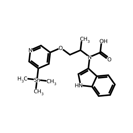 CC(COc1cnc[c]([Sn]([CH3])([CH3])[CH3])c1)N(C(=O)O)c1c[nH]c2ccccc12